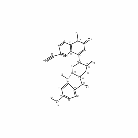 CC[C@@H]1CN(c2cc(=O)n(C)c3ccc(C#N)nc23)[C@@H](C)CN1C(C)c1ccc(OC)cc1